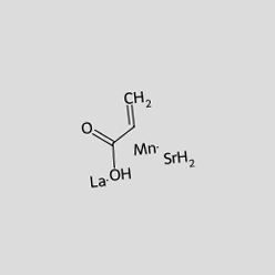 C=CC(=O)O.[La].[Mn].[SrH2]